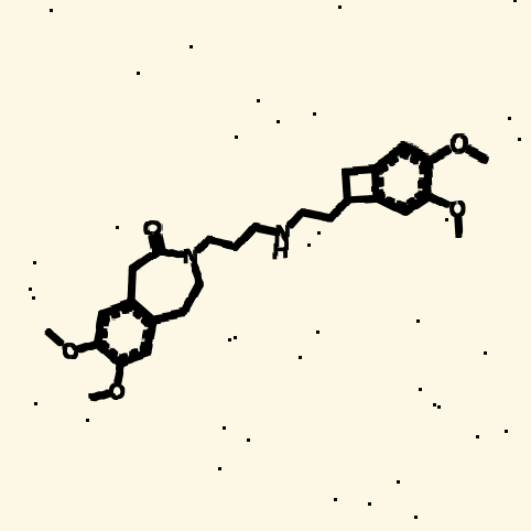 COc1cc2c(cc1OC)CC(=O)N(CCCNCCC1Cc3cc(OC)c(OC)cc31)CC2